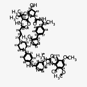 COc1cc(OC)c(Cl)c(NC(=O)N(C)c2cc(Nc3ccc(N4CCN(CCCC(=O)N[C@H](C(=O)N5C[C@H](O)C[C@H]5C(=O)N[C@H](C)c5ccc(-c6scnc6C)cc5)C(C)(C)C)CC4)cc3)ncn2)c1Cl